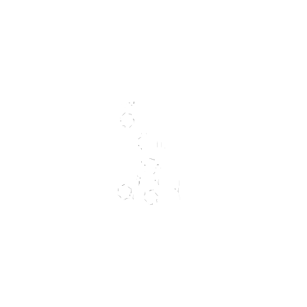 CCN(CC)CCN1C(=O)C(NC(=O)[C@H](C)NC(=O)Cc2ccc(OC)cc2)N=C(c2ccccn2)c2ccccc21